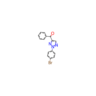 O=C(c1ccccc1)c1cnn(-c2ccc(Br)cc2)n1